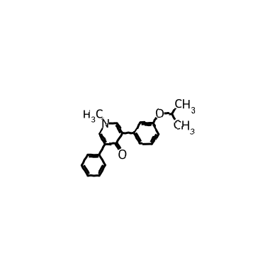 CC(C)Oc1cccc(-c2cn(C)cc(-c3ccccc3)c2=O)c1